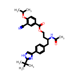 CC(=O)NC(CCOC(=O)c1ccc(OC(C)C)c(C#N)c1)Cc1ccc(-c2c[nH]c(C(C)(C)C)n2)cc1